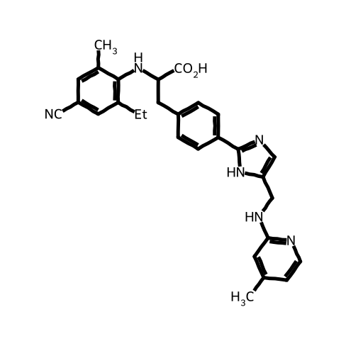 CCc1cc(C#N)cc(C)c1NC(Cc1ccc(-c2ncc(CNc3cc(C)ccn3)[nH]2)cc1)C(=O)O